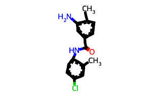 Cc1ccc(C(=O)Nc2ccc(Cl)cc2C)cc1N